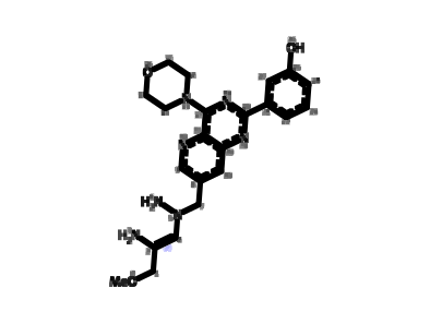 COC/C(N)=C/N(N)Cc1cnc2c(N3CCOCC3)nc(-c3cccc(O)c3)nc2c1